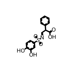 O=C(O)C(/C=N/S(=O)(=O)c1ccc(O)c(O)c1)c1ccccc1